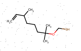 C=CC(C)CCCC(C)(C)OCS